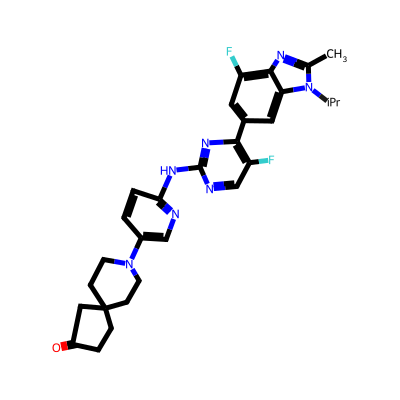 Cc1nc2c(F)cc(-c3nc(Nc4ccc(N5CCC6(CCC(=O)C6)CC5)cn4)ncc3F)cc2n1C(C)C